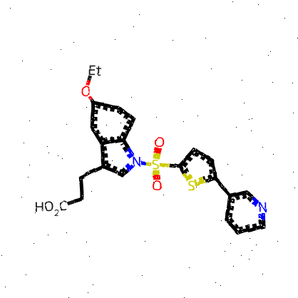 CCOc1ccc2c(c1)c(CCC(=O)O)cn2S(=O)(=O)c1ccc(-c2cccnc2)s1